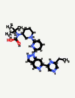 CCc1cncc(-c2cc3c(cn2)cnn3-c2cccc(N3CCC[C@H](N(C(=O)O)C(C)(C)C)C3)n2)n1